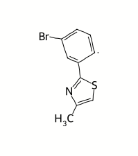 Cc1csc(-c2[c]ccc(Br)c2)n1